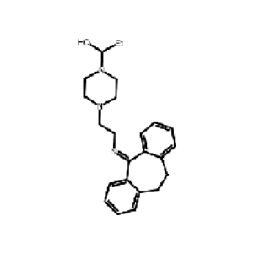 CCC(O)N1CCN(CCN=C2c3ccccc3CCc3ccccc32)CC1